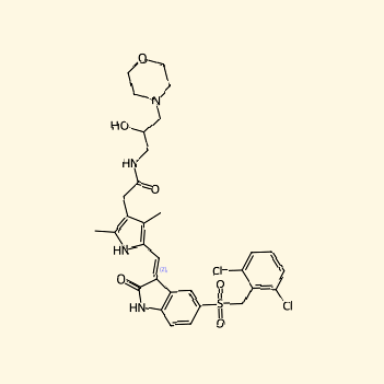 Cc1[nH]c(/C=C2\C(=O)Nc3ccc(S(=O)(=O)Cc4c(Cl)cccc4Cl)cc32)c(C)c1CC(=O)NCC(O)CN1CCOCC1